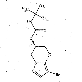 CC(C)(C)NC(=O)O[C@H]1COc2c(Br)cnn2C1